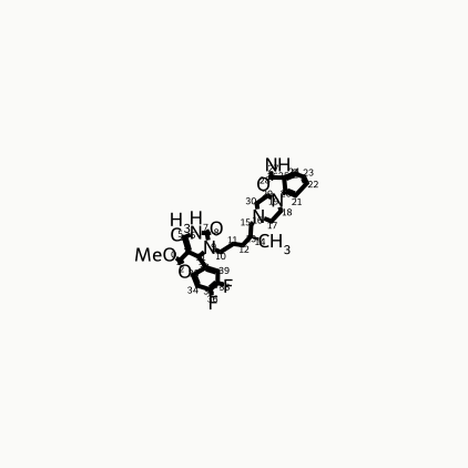 COC(=O)C1=C(C)NC(=O)N(CCC[C@H](C)CN2CCN(c3ccccc3C(N)=O)CC2)C1c1ccc(F)c(F)c1